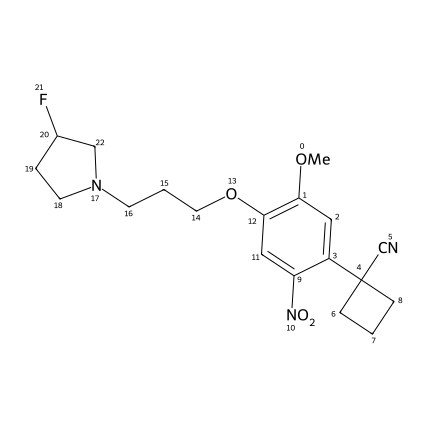 COc1cc(C2(C#N)CCC2)c([N+](=O)[O-])cc1OCCCN1CCC(F)C1